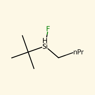 CCCC[SiH](F)C(C)(C)C